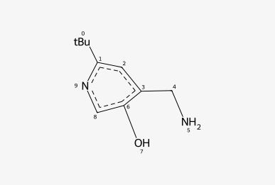 CC(C)(C)c1cc(CN)c(O)cn1